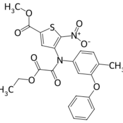 CCOC(=O)C(=O)N(c1ccc(C)c(Oc2ccccc2)c1)c1cc(C(=O)OC)sc1[N+](=O)[O-]